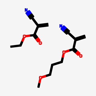 C=C(C#N)C(=O)OCC.C=C(C#N)C(=O)OCCCOC